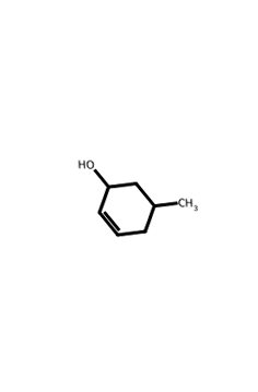 CC1CC=CC(O)C1